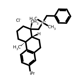 CC(C)c1ccc2c(c1)CC[C@H]1[C@@](C)(C[N+](C)(C)Cc3ccccc3)CCC[C@]21C.[Cl-]